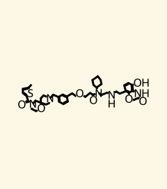 Cc1ccc(C(=O)N2CCOC3(CCN(Cc4cccc(CCOCCC(=O)N(CCNCCc5ccc(O)c6c5OCC(=O)N6)C5CCCCC5)c4)CC3)C2)s1